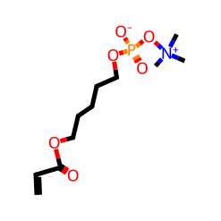 C=CC(=O)OCCCCCOP(=O)([O-])O[N+](C)(C)C